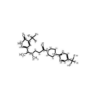 CC(c1cc(C(F)(F)F)c(=O)[nH]n1)N(C)CCC(=O)N1CCN(c2ncc(C(F)(F)F)cn2)CC1